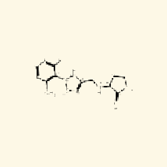 Cc1cccc(Cl)c1N1NC(CNC2CCOC2=O)=CS1